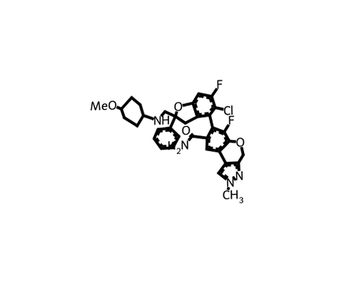 COC1CCC(NCC2(c3ccccc3)Cc3c(cc(F)c(Cl)c3-c3c(C(N)=O)cc4c(c3F)OCc3nn(C)cc3-4)O2)CC1